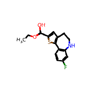 CCOC(O)c1cc2c(s1)-c1ccc(F)cc1NCC2